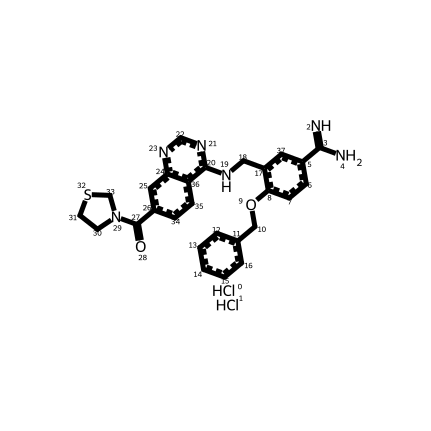 Cl.Cl.N=C(N)c1ccc(OCc2ccccc2)c(CNc2ncnc3cc(C(=O)N4CCSC4)ccc23)c1